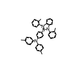 Cc1ccc(N(c2ccc(C)cc2)c2ccc(B3N(c4ccccc4C)c4ccccc4N3c3ccccc3C)cc2)cc1